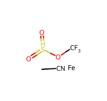 CC#N.O=[SH](=O)OC(F)(F)F.[Fe]